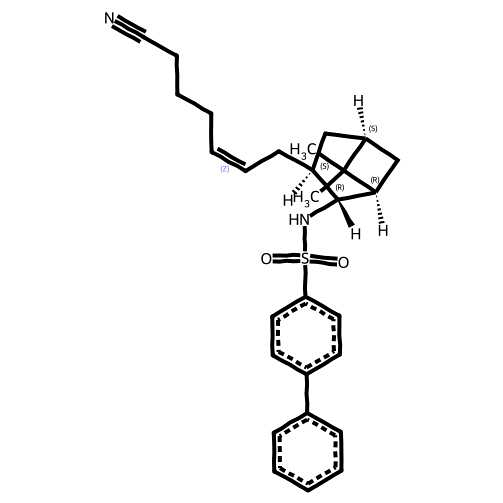 CC1(C)[C@H]2C[C@H](C/C=C\CCCC#N)[C@@H](NS(=O)(=O)c3ccc(-c4ccccc4)cc3)[C@@H]1C2